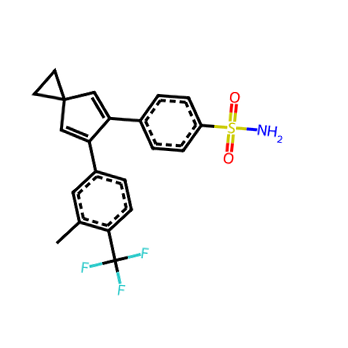 Cc1cc(C2=CC3(C=C2c2ccc(S(N)(=O)=O)cc2)CC3)ccc1C(F)(F)F